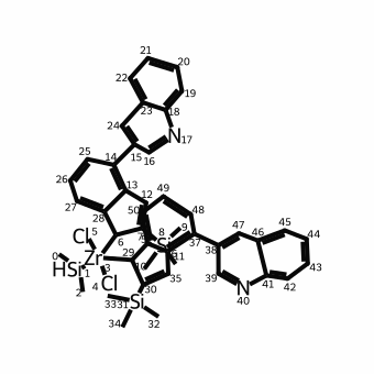 C[SiH](C)[Zr]([Cl])([Cl])([CH]1C([Si](C)(C)C)=Cc2c(-c3cnc4ccccc4c3)cccc21)[CH]1C([Si](C)(C)C)=Cc2c(-c3cnc4ccccc4c3)cccc21